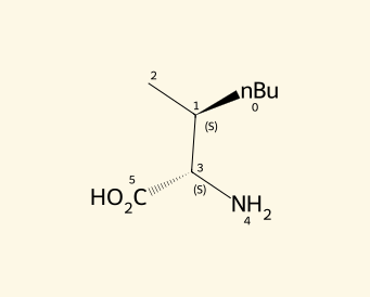 CCCC[C@H](C)[C@H](N)C(=O)O